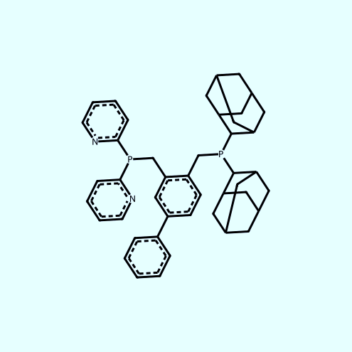 c1ccc(-c2ccc(CP(C3C4CC5CC(C4)CC3C5)C3C4CC5CC(C4)CC3C5)c(CP(c3ccccn3)c3ccccn3)c2)cc1